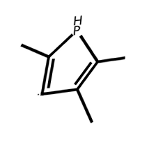 Cc1[c]c(C)c(C)[pH]1